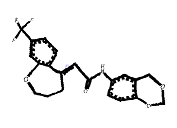 O=C(/C=C1\CCCOc2cc(C(F)(F)F)ccc21)Nc1ccc2c(c1)COCO2